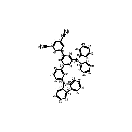 N#Cc1cc(C#N)cc(-c2cc(-c3cccc(-n4c5ccccc5c5ccccc54)c3)cc(-n3c4ccccc4c4ccccc43)c2)c1